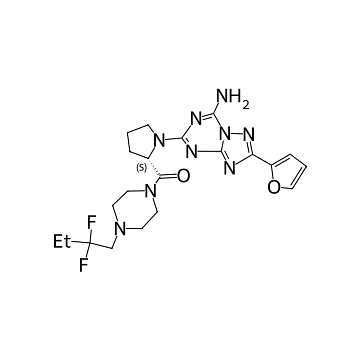 CCC(F)(F)CN1CCN(C(=O)[C@@H]2CCCN2c2nc(N)n3nc(-c4ccco4)nc3n2)CC1